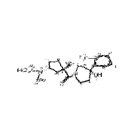 CC(C)[C@]1(C(=O)N2CCC(O)(c3ccccc3C(F)(F)F)CC2)CC[C@@H](N(C(=O)O)C(C)(C)C)C1